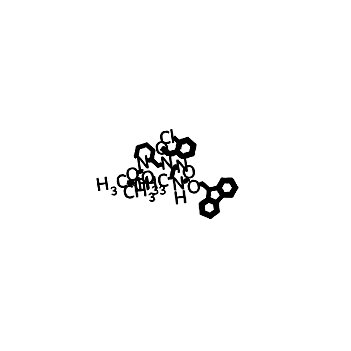 C[C@H](NC(=O)OCC1c2ccccc2-c2ccccc21)c1nc2cccc(Cl)c2c(=O)n1CC1CCCCN1C(=O)OC(C)(C)C